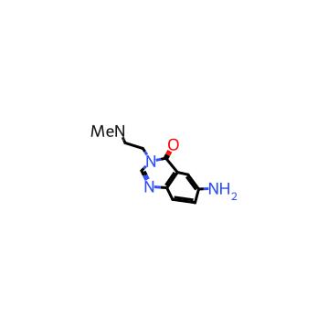 CNCCn1cnc2ccc(N)cc2c1=O